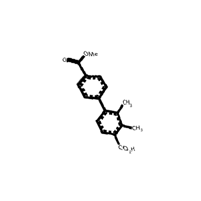 COC(=O)c1ccc(-c2ccc(C(=O)O)c(C)c2C)cc1